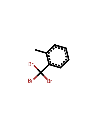 Cc1ccccc1C(Br)(Br)Br